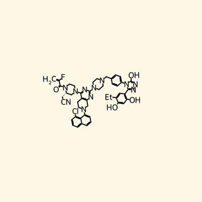 C=C(F)C(=O)N1CCN(c2nc(N3CCN(Cc4ccc(-n5c(O)nnc5-c5cc(CC)c(O)cc5O)cc4)CC3)nc3c2CCN(c2cccc4cccc(Cl)c24)C3)C[C@@H]1CC#N